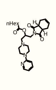 CCCCCCC(=O)OC(CN1CCN(c2ccccn2)CC1)CN1C(=O)[C@H]2CC=CC[C@H]2C1=O